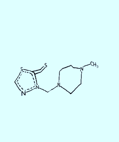 CN1CCN(Cn2ncsc2=S)CC1